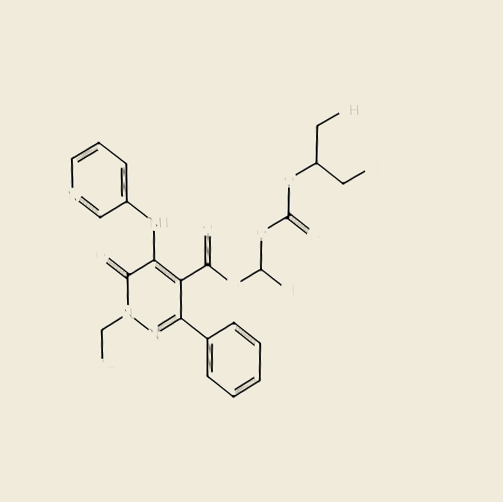 CCC(CC)OC(=O)OC(C)OC(=O)c1c(-c2ccccc2)nn(CC)c(=O)c1Nc1cccnc1